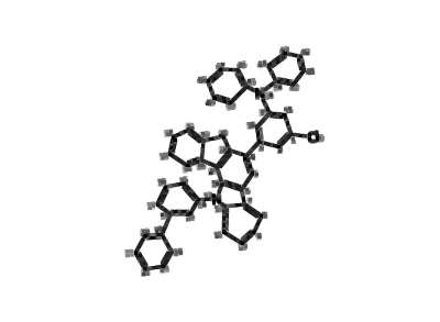 Clc1cc(-c2cc3c4ccccc4n(-c4cccc(-c5ccccc5)c4)c3c3c2Cc2ccccc2-3)cc(N(c2ccccc2)c2ccccc2)c1